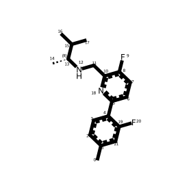 Cc1ccc(-c2ccc(F)c(CN[C@H](C)C(C)C)n2)c(F)c1